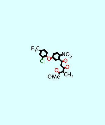 COC(=O)C(C)C(=O)CC(=O)c1cc(Oc2ccc(C(F)(F)F)cc2Cl)ccc1[N+](=O)[O-]